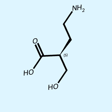 NCC[C@@H](CO)C(=O)O